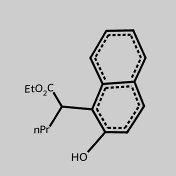 CCCC(C(=O)OCC)c1c(O)ccc2ccccc12